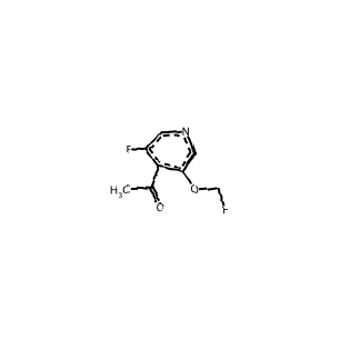 CC(=O)c1c(F)cncc1OCF